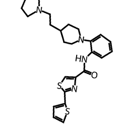 O=C(Nc1ccccc1N1CCC(CCN2CCCC2)CC1)c1csc(-c2cccs2)n1